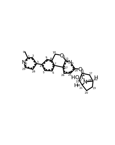 Cc1cc(-c2ccc3c(c2)COc2nc(O[C@@H]4C[C@H]5CC[C@@H](C4)N5C(=O)O)ccc2-3)ccn1